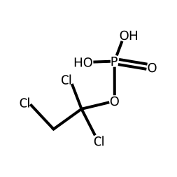 O=P(O)(O)OC(Cl)(Cl)CCl